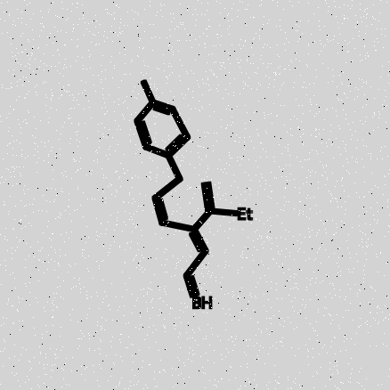 B=C/C=C(\C=C/Cc1ccc(C)cc1)C(=C)CC